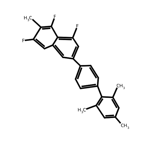 Cc1cc(C)c(-c2ccc(-c3cc(F)c4c(F)c(C)c(F)cc4c3)cc2)c(C)c1